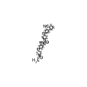 C=CC(=O)N1CCC(Oc2ccc(/C=C/C(=O)N3CCC(Oc4ccc(-c5ccccc5C#N)cc4)CC3)c(C(C)(C)C)c2)CC1